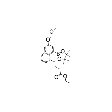 CCOC(=O)CCCc1cccc2cc(OCOC)cc(B3OC(C)(C)C(C)(C)O3)c12